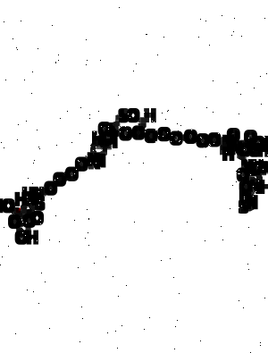 COc1ccc(NC(=O)c2cn3ccsc3n2)cc1C(=O)NCCCC(=O)N[C@@H](CCC(=O)N(C)OC)C(=O)NCCOCCOCCOCCOCCOCCOCCOCCOCCN(CCCS(=O)(=O)O)C(=O)OC[C@@]12C3Cc4nnn(CCOCCOCCOCCOCCNC(=S)Nc5ccc6c(c5)C(=O)OC65c6ccc(O)cc6Oc6cc(O)ccc65)c4CC[C@@H]1[C@H]32